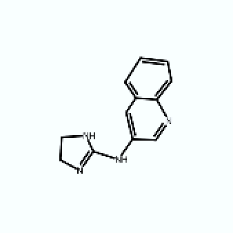 c1ccc2ncc(NC3=NCCN3)cc2c1